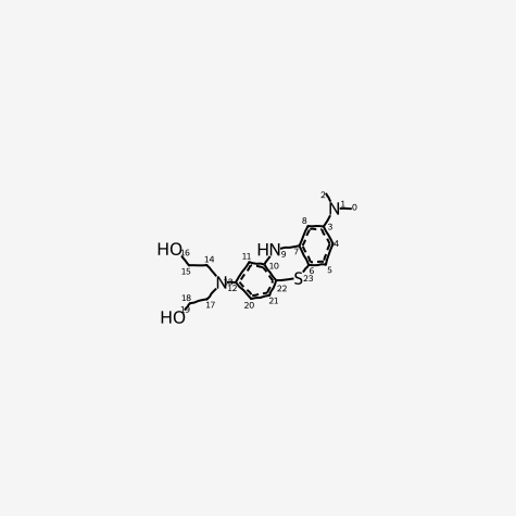 CN(C)c1ccc2c(c1)Nc1cc(N(CCO)CCO)ccc1S2